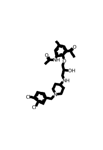 CC(=O)Nc1cc(C)cc(C(C)=O)c1OCC(O)CNC1CCN(Cc2ccc(Cl)c(Cl)c2)CC1